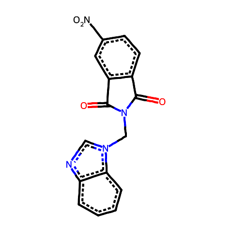 O=C1c2ccc([N+](=O)[O-])cc2C(=O)N1Cn1cnc2ccccc21